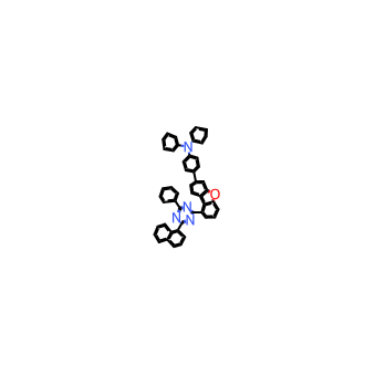 c1ccc(-c2nc(-c3cccc4ccccc34)nc(-c3cccc4oc5cc(-c6ccc(N(c7ccccc7)c7ccccc7)cc6)ccc5c34)n2)cc1